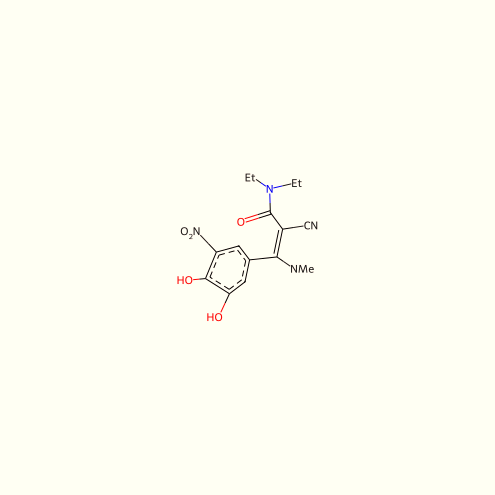 CCN(CC)C(=O)C(C#N)=C(NC)c1cc(O)c(O)c([N+](=O)[O-])c1